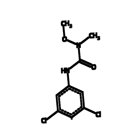 CON(C)C(=O)Nc1cc(Cl)[c]c(Cl)c1